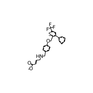 COC(=O)C=CCNCc1ccc(OCc2sc(C(F)(F)F)cc2-c2ccccc2)cc1